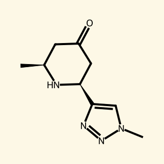 C[C@H]1CC(=O)C[C@@H](c2cn(C)nn2)N1